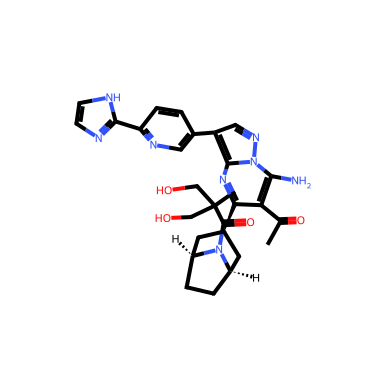 CC(=O)c1c([C@H]2C[C@H]3CC[C@@H](C2)N3C(=O)C(C)(CO)CO)nc2c(-c3ccc(-c4ncc[nH]4)nc3)cnn2c1N